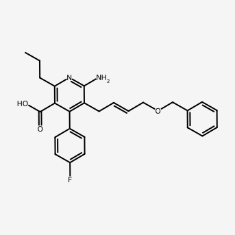 CCCc1nc(N)c(C/C=C/COCc2ccccc2)c(-c2ccc(F)cc2)c1C(=O)O